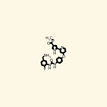 COC(=O)c1c[nH]c(-c2cc(Oc3ccc(NC(=O)Nc4cc(CN)ccc4F)cc3)ccn2)c1